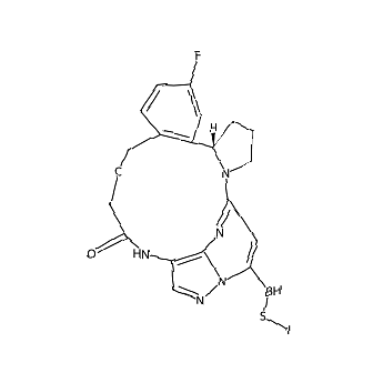 O=C1CCCc2ccc(F)cc2[C@@H]2CCCN2c2cc(BSI)n3ncc(c3n2)N1